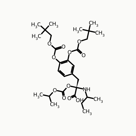 CCC(C)N[C@@](Cc1ccc(OC(=O)OCC(C)(C)C)c(OC(=O)OCC(C)(C)C)c1)(OC(=O)OC(C)C)C(=O)O